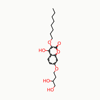 CCCCCCCCOc1c(O)c2ccc(OCCC(O)CO)cc2oc1=O